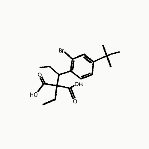 CCC(c1ccc(C(C)(C)C)cc1Br)C(CC)(C(=O)O)C(=O)O